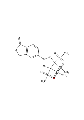 CS(=O)(=O)C1(S(C)(=O)=O)OB(c2ccc3c(c2)COC3=O)OC1(S(C)(=O)=O)S(C)(=O)=O